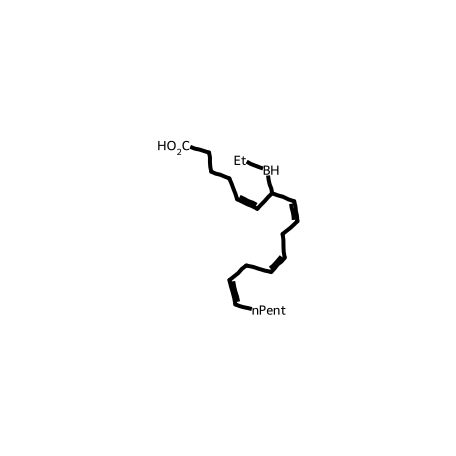 CCBC(/C=C\C/C=C\C/C=C\CCCCC)/C=C\CCCC(=O)O